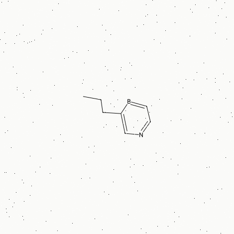 CCCc1bccnc1